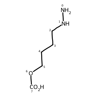 NNCCCCOC(=O)O